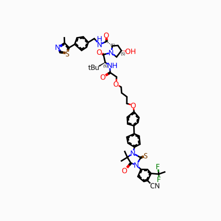 Cc1ncsc1-c1ccc(CNC(=O)[C@@H]2C[C@H](O)CN2C(=O)[C@@H](NC(=O)COCCCCOc2ccc(-c3ccc(N4C(=S)N(c5ccc(C#N)c(C(C)(F)F)c5)C(=O)C4(C)C)cc3)cc2)C(C)(C)C)cc1